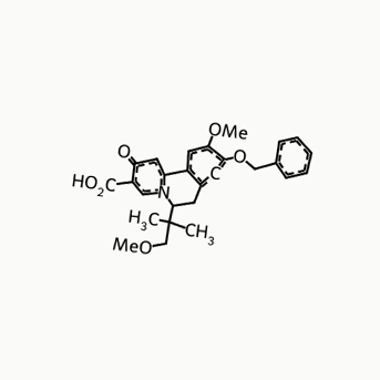 COCC(C)(C)C1Cc2cc(OCc3ccccc3)c(OC)cc2-c2cc(=O)c(C(=O)O)cn21